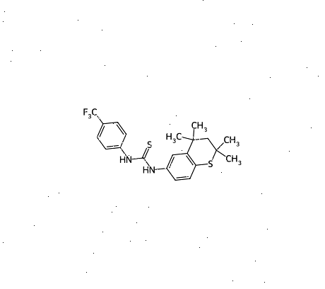 CC1(C)CC(C)(C)c2cc(NC(=S)Nc3ccc(C(F)(F)F)cc3)ccc2S1